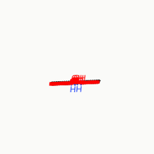 CCC=CCC=CCC=CCC=CCC=CCC=CCCC(=O)N[C@@H](CCCCNC(=O)CCCC=CCC=CCC=CCC=CCC=CCC)C(=O)OC(CO)CO